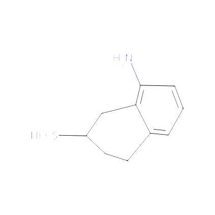 Nc1cccc2c1CC(S(=O)(=O)O)CC2